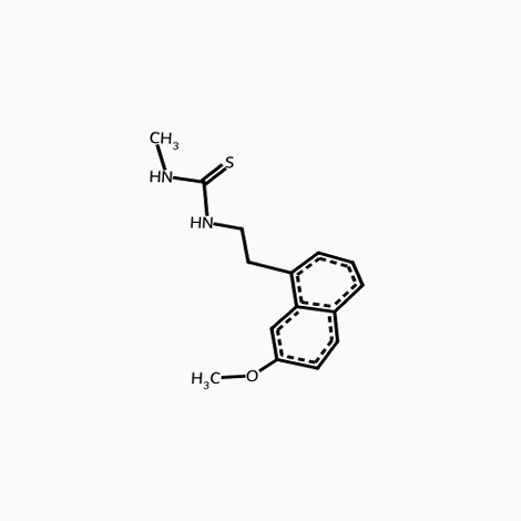 CNC(=S)NCCc1cccc2ccc(OC)cc12